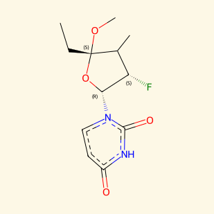 CC[C@]1(OC)O[C@@H](n2ccc(=O)[nH]c2=O)[C@@H](F)C1C